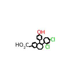 O=C(O)Cc1ccc2c(c1)CCCC(C1=CCC=C(Cl)C=C1Cl)=C2c1ccc(O)cc1